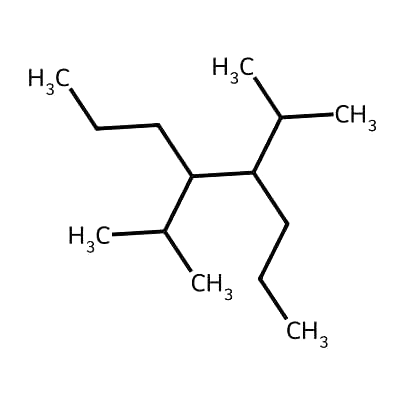 CCCC(C(C)C)C(CCC)C(C)C